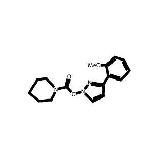 COc1ccccc1-c1ccn(OC(=O)N2CCCCC2)n1